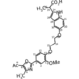 COc1cc(-c2nc(C)c(C(C)=O)o2)ccc1OCCCOc1ccc2[nH]c(C(C)C(=O)O)cc2c1